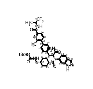 Cc1nc(C(=O)NC(C)C(F)(F)F)ccc1-c1ccc(C[C@@H](C(N)=O)N(c2ccc3cn[nH]c3c2)C(=O)[C@H]2CC[C@H](CNC(=O)OC(C)(C)C)CC2)cc1